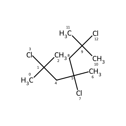 CC(C)(Cl)CC(C)(Cl)CC(C)(C)Cl